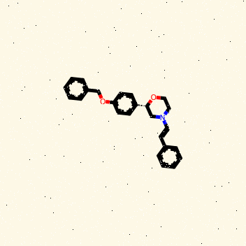 C(=CN1CCO[C@@H](c2ccc(OCc3ccccc3)cc2)C1)c1ccccc1